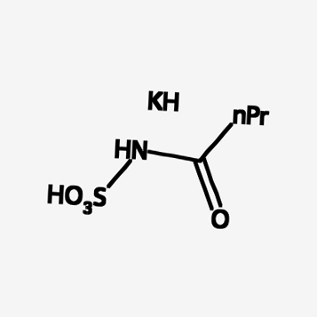 CCCC(=O)NS(=O)(=O)O.[KH]